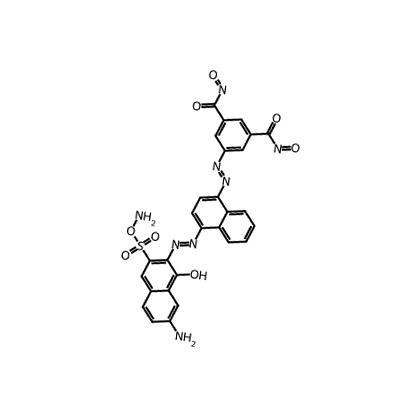 NOS(=O)(=O)c1cc2ccc(N)cc2c(O)c1N=Nc1ccc(N=Nc2cc(C(=O)N=O)cc(C(=O)N=O)c2)c2ccccc12